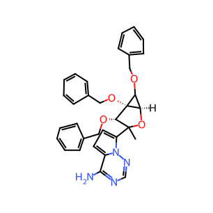 CC1(c2ccc3c(N)ncnn23)O[C@@H]2C(OCc3ccccc3)[C@]2(OCc2ccccc2)[C@H]1OCc1ccccc1